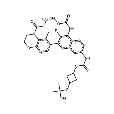 Cc1c(-c2cc3cc(NC(=O)OC4CC(O[Si](C)(C)C(C)(C)C)C4)ncc3c(NC(=O)OC(C)(C)C)c2F)cnc2c1N(C(=O)OC(C)(C)C)CCO2